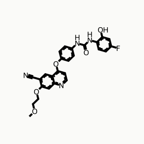 COCCOc1cc2nccc(Oc3ccc(NC(=O)Nc4ccc(F)cc4O)cc3)c2cc1C#N